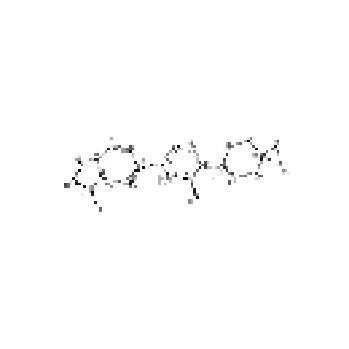 C[C@@H](NC(=O)c1ccc2cnn(C)c2c1)C(=O)N1CCC2(CC1)CC2